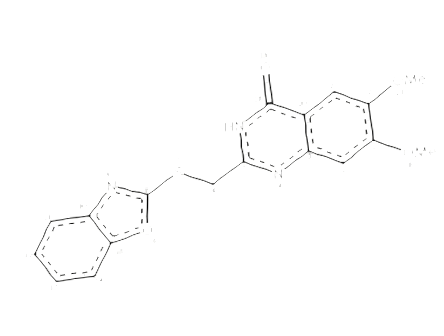 COc1cc2nc(CSc3nc4ccccc4o3)[nH]c(=O)c2cc1OC